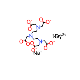 O=C([O-])CN(CCN(CC(=O)[O-])CC(=O)[O-])CCN(CC(=O)[O-])CC(=O)[O-].[Dy+3].[Na+].[Na+]